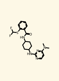 CN(C)c1ccnc(NC2CCC(NC(=O)c3ccccc3SC(F)F)CC2)n1